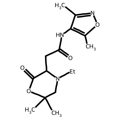 CCN1CC(C)(C)OC(=O)C1CC(=O)Nc1c(C)noc1C